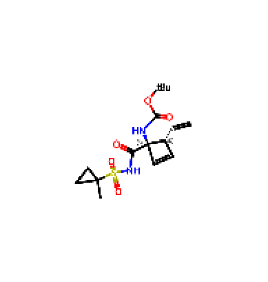 C=C[C@@H]1C=C[C@]1(NC(=O)OC(C)(C)C)C(=O)NS(=O)(=O)C1(C)CC1